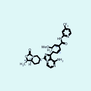 C=C(/C=C\C(=C/COC)C(=O)Nc1cc(C(F)(F)F)ccn1)c1nc([C@@H]2CC[C@H]3[C@@H](C)OC(=O)N3C2)n2ccnc(N)c12